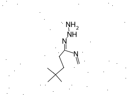 C=N/C(CCC(C)(C)C)=N\NN